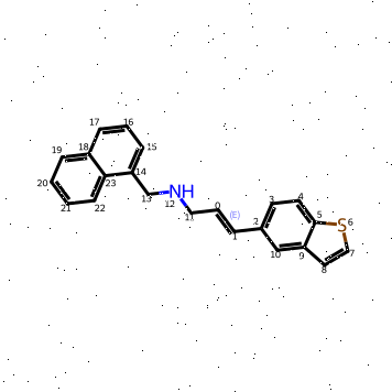 C(=C\c1ccc2sccc2c1)/CNCc1cccc2ccccc12